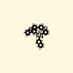 C1=CC(c2nc(-c3ccc4ccccc4c3)nc(-c3cccc4oc5ccc(-c6ccccc6)cc5c34)n2)Cc2c1oc1ccccc21